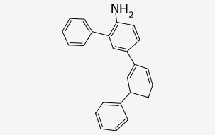 Nc1ccc(C2=CC(c3ccccc3)CC=C2)cc1-c1ccccc1